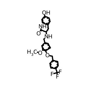 COc1cc(CNC(Cc2ccc(O)cc2)C(N)=O)ccc1OCc1ccc(C(F)(F)F)cc1